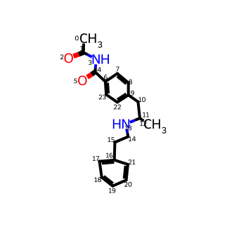 CC(=O)NC(=O)c1ccc(CC(C)NCCc2ccccc2)cc1